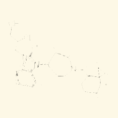 O=c1n(CC(O)CO)c2ccccc2n1C1CCN(CC2CCCCC23CC3)CC1